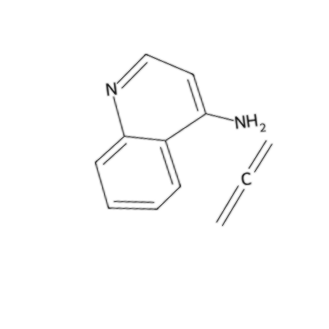 C=C=C.Nc1ccnc2ccccc12